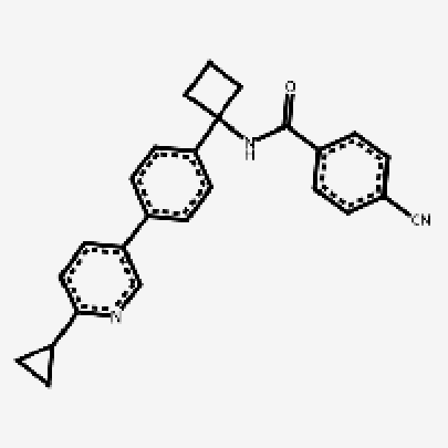 N#Cc1ccc(C(=O)NC2(c3ccc(-c4ccc(C5CC5)nc4)cc3)CCC2)cc1